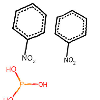 O=[N+]([O-])c1ccccc1.O=[N+]([O-])c1ccccc1.OP(O)O